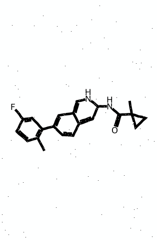 Cc1ccc(F)cc1-c1ccc2c(c1)=CNC(NC(=O)C1(C)CC1)C=2